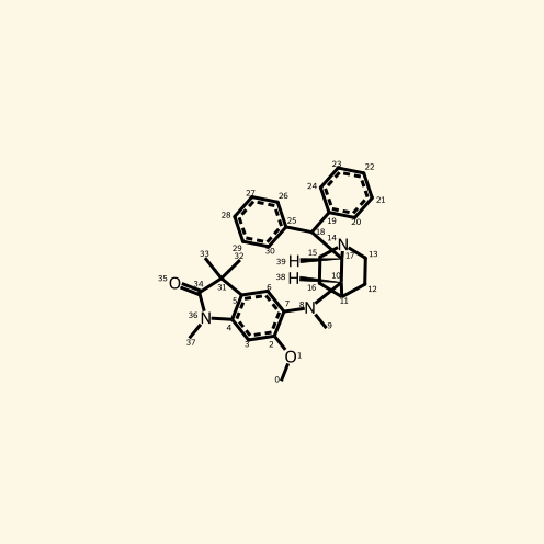 COc1cc2c(cc1N(C)[C@H]1C3CCN(CC3)[C@H]1C(c1ccccc1)c1ccccc1)C(C)(C)C(=O)N2C